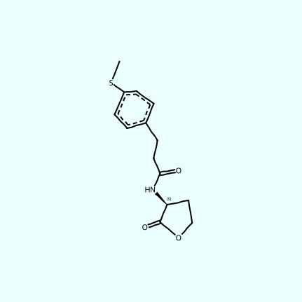 CSc1ccc(CCC(=O)N[C@H]2CCOC2=O)cc1